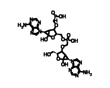 Nc1ncnc2c1ncn2[C@H]1C2C(OCP(=O)(O)OC[C@H]3OC4(O)C(C3OC[PH](=O)O)[C@@H]4n3cnc4c(N)ncnc43)[C@@H](CO)OC21O